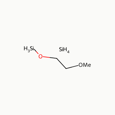 COCCO[SiH3].[SiH4]